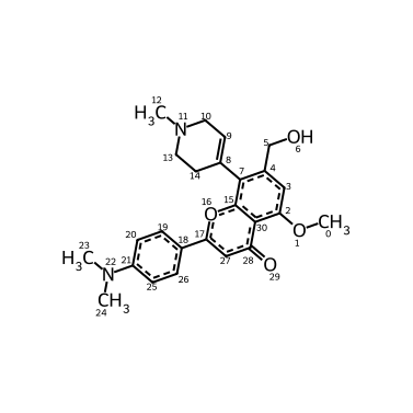 COc1cc(CO)c(C2=CCN(C)CC2)c2oc(-c3ccc(N(C)C)cc3)cc(=O)c12